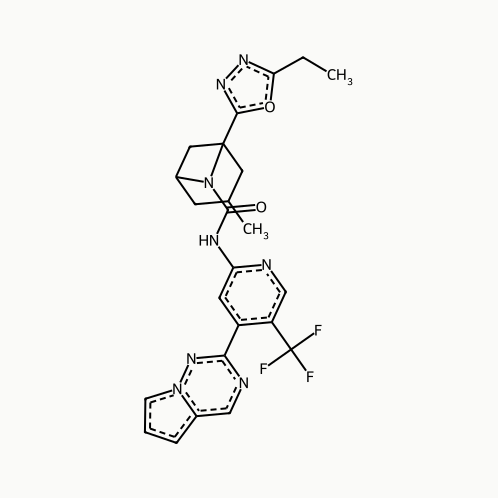 CCc1nnc(C23CC(C)CC(C2)N3C(=O)Nc2cc(-c3ncc4cccn4n3)c(C(F)(F)F)cn2)o1